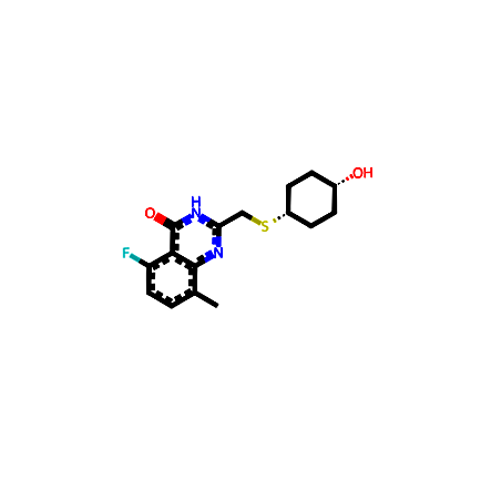 Cc1ccc(F)c2c(=O)[nH]c(CS[C@H]3CC[C@@H](O)CC3)nc12